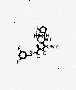 COc1c2n(cc(C(=O)NCc3cc(F)cc(F)c3)c1=O)C[C@@H]1O[C@H]3CC[C@H](C3)N1C2=O